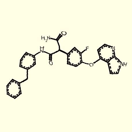 NC(=O)C(C(=O)Nc1cccc(Cc2ccccc2)c1)c1ccc(Oc2ccnc3[nH]ccc23)c(F)c1